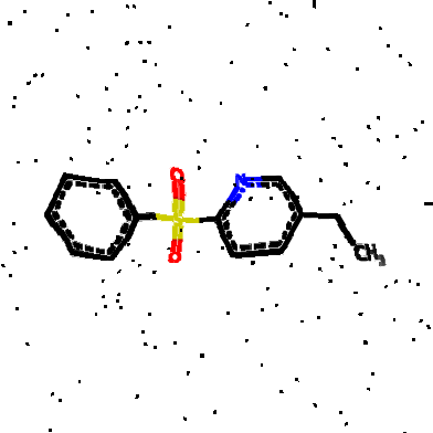 CCc1ccc(S(=O)(=O)c2ccccc2)nc1